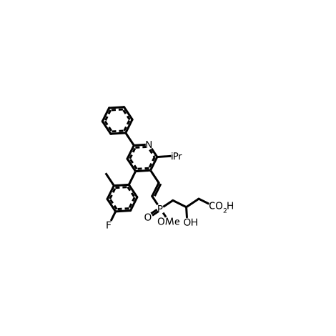 COP(=O)(C=Cc1c(-c2ccc(F)cc2C)cc(-c2ccccc2)nc1C(C)C)CC(O)CC(=O)O